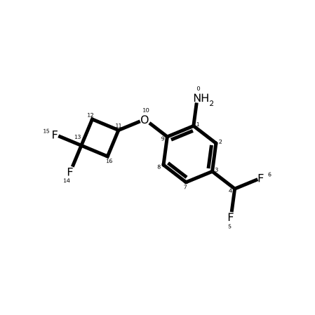 Nc1cc(C(F)F)ccc1OC1CC(F)(F)C1